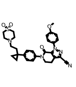 COc1ccc(-n2nc(C#N)c3c2C(=O)N(c2ccc(C4(CCN5CCS(=O)(=O)CC5)CC4)cc2)CC3)cc1